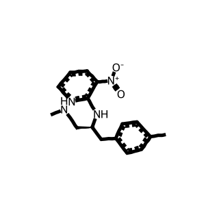 CNC[C@H](Cc1ccc(C)cc1)Nc1ncccc1[N+](=O)[O-]